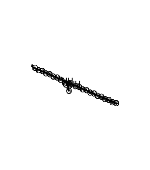 C#CCOCCOCCOCCOCCOCCOCCOCCOCCNC(=O)CN(CC(=O)NCCOCCOCCOCCOCCOCCOCCOCCOCCOCCOCCOCCOC)C(=O)CCCC=O